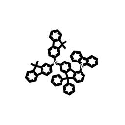 CC1(C)c2ccccc2-c2ccc(N(c3ccc4c(c3)C(C)(C)c3ccccc3-4)c3ccc4c(c3)C(c3ccccc3)(c3ccccc3)c3cccc(-n5c6ccccc6c6ccccc65)c3-4)cc21